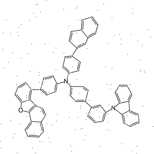 c1cc(-c2ccc(N(c3ccc(-c4ccc5ccccc5c4)cc3)c3ccc(-c4cccc5oc6c7ccccc7ccc6c45)cc3)cc2)cc(-n2c3ccccc3c3ccccc32)c1